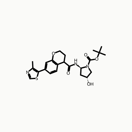 Cc1ncsc1-c1ccc2c(c1)OCCC2C(=O)N[C@@H]1C[C@@H](O)CN1C(=O)OC(C)(C)C